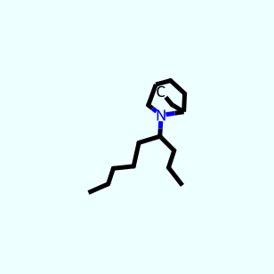 CCCCCC(CCC)N1CC2CCC1CC2